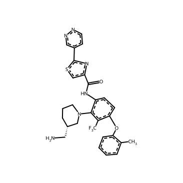 Cc1ccccc1Oc1ccc(NC(=O)c2csc(-c3ccnnc3)n2)c(N2CCC[C@@H](CN)C2)c1C(F)(F)F